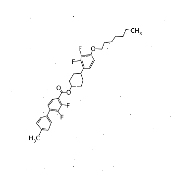 CCCCCCCOc1ccc(C2CCC(OC(=O)c3ccc(-c4ccc(C)cc4)c(F)c3F)CC2)c(F)c1F